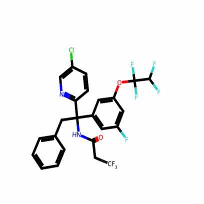 O=C(CC(F)(F)F)NC(Cc1ccccc1)(c1cc(F)cc(OC(F)(F)C(F)F)c1)c1ccc(Cl)cn1